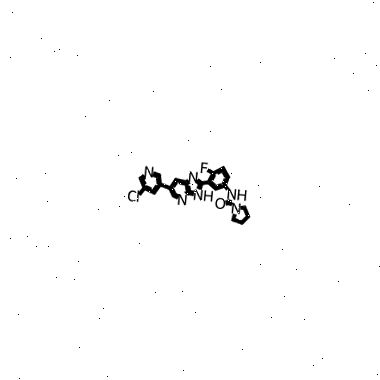 O=C(Nc1ccc(F)c(-c2nc3cc(-c4cncc(Cl)c4)cnc3[nH]2)c1)N1CCCC1